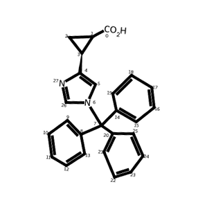 O=C(O)C1C[C@@H]1c1cn(C(c2ccccc2)(c2ccccc2)c2ccccc2)cn1